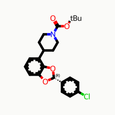 CC(C)(C)OC(=O)N1CCC(c2cccc3c2O[C@H](c2ccc(Cl)cc2)O3)CC1